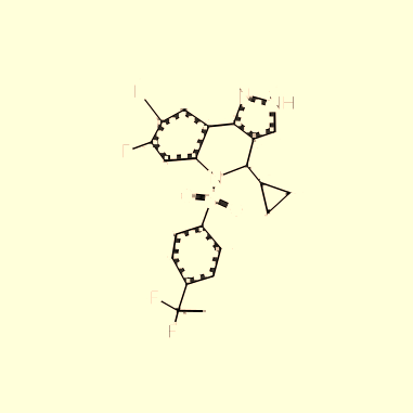 O=S(=O)(c1ccc(C(F)(F)F)cc1)N1c2cc(F)c(F)cc2-c2n[nH]cc2C1C1CC1